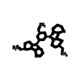 C=Cc1cc(-n2c3ccc(C=C)cc3c3ncccc32)cc(-n2c3ccc(C=C)cc3c3ncccc32)c1